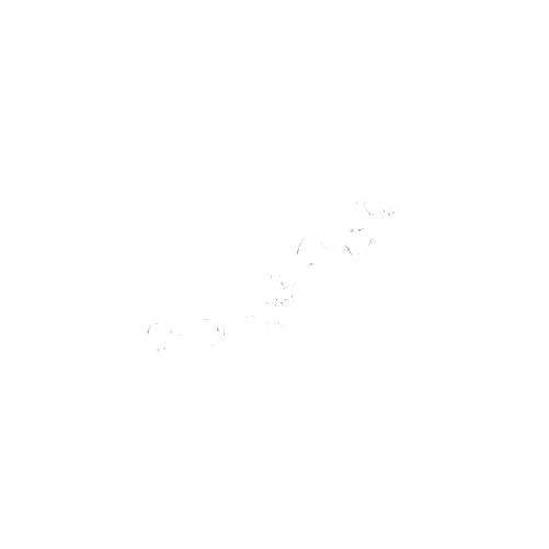 Cl.NC(=O)c1cccc(-c2cccc(OC(=O)NCCCCN3CCC(c4ccccc4)CC3)c2)c1